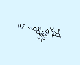 CCCCCCOc1ccc(F)c(CN2C(=O)C(C)Sc3cc(C(=O)NCc4c(F)cc(F)cc4F)ccc32)c1Cl